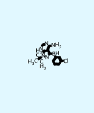 CC(C)(C)n1nc(Bc2cccc(Cl)c2)c2c(N)ncnc21